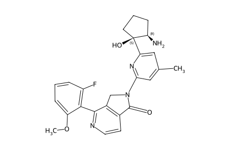 COc1cccc(F)c1-c1nccc2c1CN(c1cc(C)cc([C@]3(O)CCC[C@H]3N)n1)C2=O